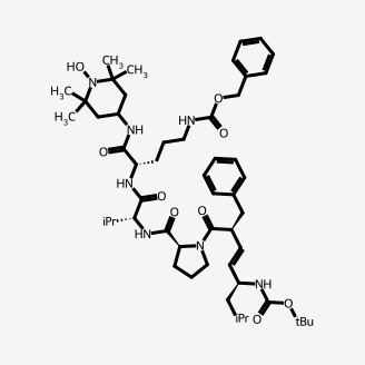 CC(C)C[C@@H](/C=C/[C@H](Cc1ccccc1)C(=O)N1CCC[C@H]1C(=O)N[C@@H](C(=O)N[C@@H](CCCNC(=O)OCc1ccccc1)C(=O)NC1CC(C)(C)N(O)C(C)(C)C1)C(C)C)NC(=O)OC(C)(C)C